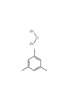 CC(C)OC(C)C.Cc1cc(C)cc(C)c1